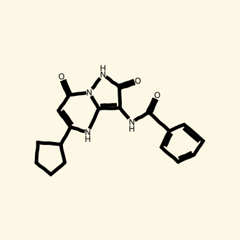 O=C(Nc1c(=O)[nH]n2c(=O)cc(C3CCCC3)[nH]c12)c1ccccc1